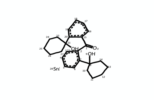 O=C(c1ccccc1C1(O)CCCCC1)c1ccccc1C1(O)CCCCC1.[Sn]